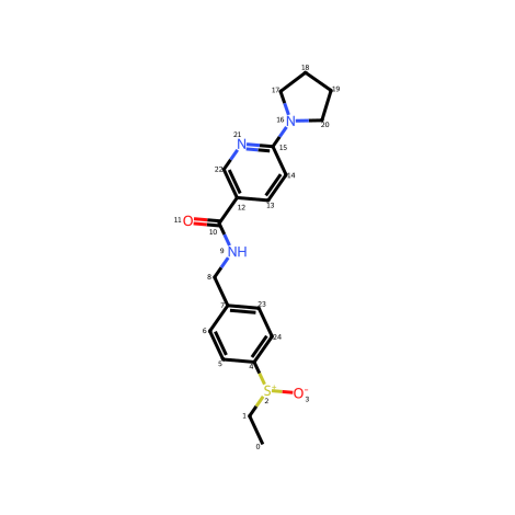 CC[S+]([O-])c1ccc(CNC(=O)c2ccc(N3CCCC3)nc2)cc1